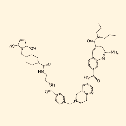 CCCN(CCC)C(=O)C1=Cc2ccc(C(=O)Nc3cnc4c(c3)CN(Cc3ccc(C(=O)NCCNC(=O)C5CCC(CN6C(O)C=CC6O)CC5)cc3)CC4)cc2N=C(N)C1